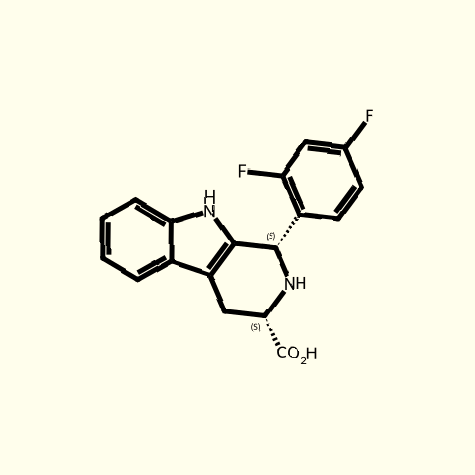 O=C(O)[C@@H]1Cc2c([nH]c3ccccc23)[C@H](c2ccc(F)cc2F)N1